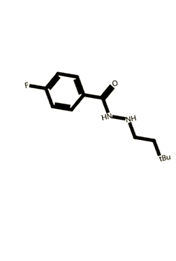 CC(C)(C)CCNNC(=O)c1ccc(F)cc1